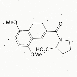 COc1ccc(OC)c2c1C=C(C(=O)N1CCCC1C(=O)O)CC2